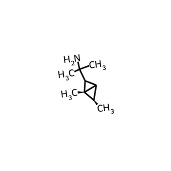 C[C@@H]1C2C(C(C)(C)N)[C@]21C